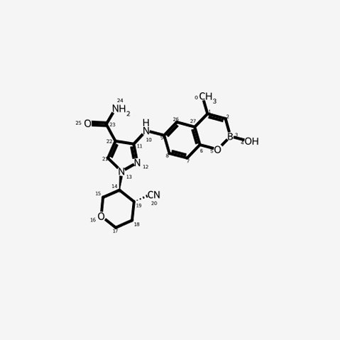 CC1=CB(O)Oc2ccc(Nc3nn([C@@H]4COCC[C@H]4C#N)cc3C(N)=O)cc21